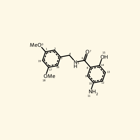 COc1cc(CNC(=O)c2cc(N)ccc2O)cc(OC)c1